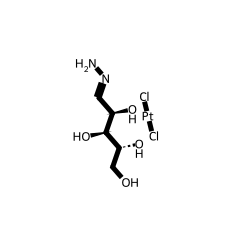 NN=C[C@@H](O)[C@H](O)[C@H](O)CO.[Cl][Pt][Cl]